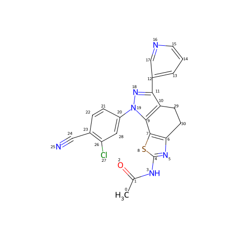 CC(=O)Nc1nc2c(s1)-c1c(c(-c3cccnc3)nn1-c1ccc(C#N)c(Cl)c1)CC2